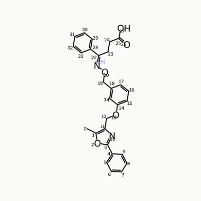 Cc1oc(-c2ccccc2)nc1COc1cccc(CO/N=C(\CCC(=O)O)c2ccccc2)c1